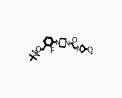 COC1CN(CC(=O)N2CCN(c3cccc(CO[Si](C)(C)C(C)(C)C)c3F)CC2)C1